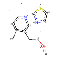 Cc1ccncc1CCO.I.c1cscn1